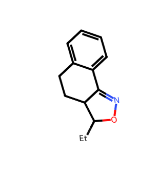 CCC1ON=C2c3ccccc3CCC21